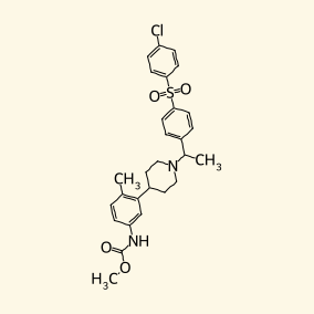 COC(=O)Nc1ccc(C)c(C2CCN(C(C)c3ccc(S(=O)(=O)c4ccc(Cl)cc4)cc3)CC2)c1